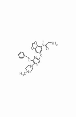 CN1CCN(c2ncc(Sc3cc(NC(=O)CN)c4c(c3)OCO4)nc2OCc2ccccc2)CC1